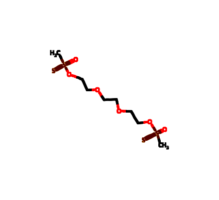 CS(=O)(=S)OCCOCCOCCOS(C)(=O)=S